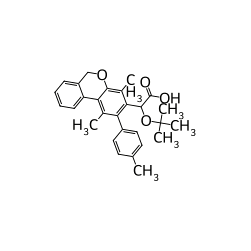 Cc1ccc(-c2c(C)c3c(c(C)c2C(OC(C)(C)C)C(=O)O)OCc2ccccc2-3)cc1